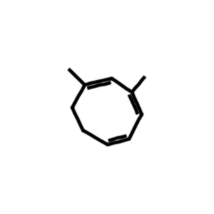 CC1=C/C=C\CC/C(C)=C\1